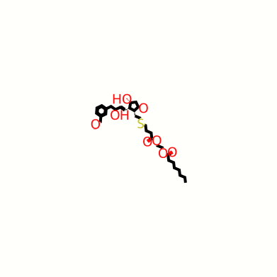 CCCCCCCC(=O)OCCOC(=O)CCCSCC[C@H]1C(=O)C[C@@H](O)[C@H]1/C=C/[C@@H](O)Cc1cccc(COC)c1